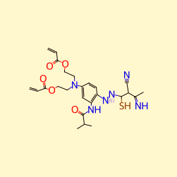 C=CC(=O)OCCN(CCOC(=O)C=C)c1ccc(/N=N/C(S)C(C#N)C(C)=N)c(NC(=O)C(C)C)c1